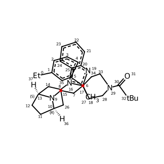 CCc1cccc(C2(CCN3[C@@H]4CC[C@H]3CC(n3c(C)nc5ccccc53)C4)CCN(C(=O)C(C)(C)C)CC2)c1